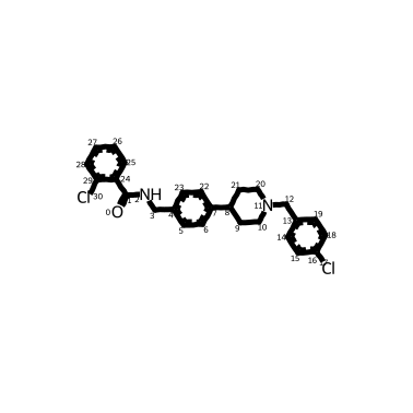 O=C(NCc1ccc(C2CCN(Cc3ccc(Cl)cc3)CC2)cc1)c1ccccc1Cl